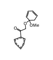 COC1(OCC(=O)c2ccccc2)C=CC=CC1